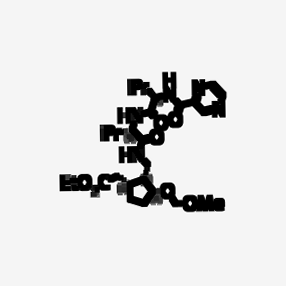 CCOC(=O)C[C@H]1CC[C@@H](OCOC)[C@H]1CNC(=O)[C@@H](NC(=O)[C@H](NC(=O)c1cnccn1)C(C)C)C(C)C